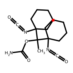 CC(OC(N)=O)(C1(N=C=O)CCCCC1)C1(N=C=O)CCCCC1